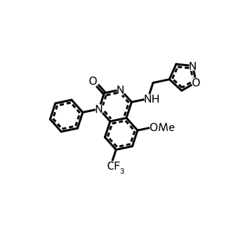 COc1cc(C(F)(F)F)cc2c1c(NCc1cnoc1)nc(=O)n2-c1ccccc1